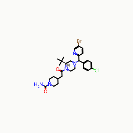 CC(C)(C)[C@H]1CN(C(c2ccc(Cl)cc2)c2ccc(Br)cn2)CCN1C(=O)CC1CCN(C(N)=O)CC1